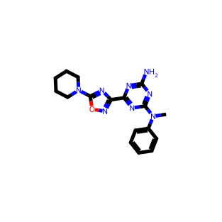 CN(c1ccccc1)c1nc(N)nc(-c2noc(N3CCCCC3)n2)n1